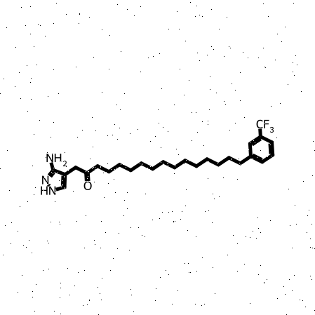 Nc1n[nH]cc1CC(=O)CCCCCCCCCCCCCCc1cccc(C(F)(F)F)c1